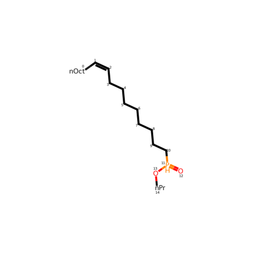 CCCCCCCC/C=C\CCCCCCCC[PH](=O)OCCC